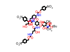 CN(C(=O)OC(C)(C)C)[C@@H]1[C@@H](O)[C@@H](O[C@@H]2[C@@H](O)[C@H](O[C@H]3OC(CNCC(O)CO)=CC[C@H]3NC(=O)OCc3ccc([N+](=O)[O-])cc3)[C@@H](NC(=O)OCc3ccc([N+](=O)[O-])cc3)C[C@H]2NC(=O)[C@@H](O)CCNC(=O)OCc2ccc([N+](=O)[O-])cc2)OC[C@]1(C)O